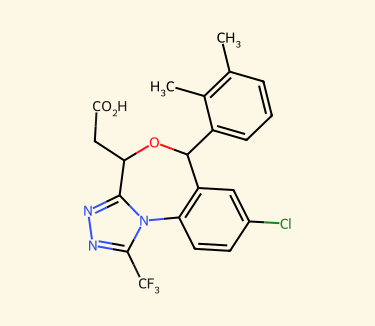 Cc1cccc(C2OC(CC(=O)O)c3nnc(C(F)(F)F)n3-c3ccc(Cl)cc32)c1C